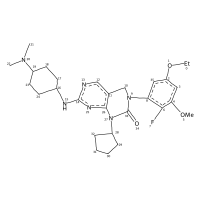 CCOc1cc(OC)c(F)c(N2Cc3cnc(NC4CCC(N(C)C)CC4)nc3N(C3CCCC3)C2=O)c1